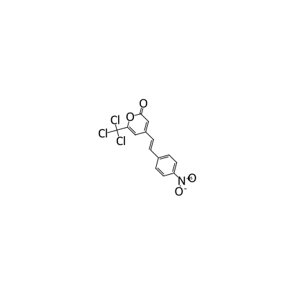 O=c1cc(C=Cc2ccc([N+](=O)[O-])cc2)cc(C(Cl)(Cl)Cl)o1